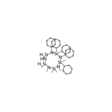 CN1[SiH2]N[SiH2]N(c2ccccc2)[Si](c2ccccc2)(c2ccccc2)N(c2ccccc2)[Si](C)(c2ccccc2)N(C)[Si]1(C)C